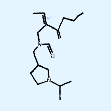 C=C(CCC)/C(=C/C)CN(C=O)CC1CCN(C(C)C)C1